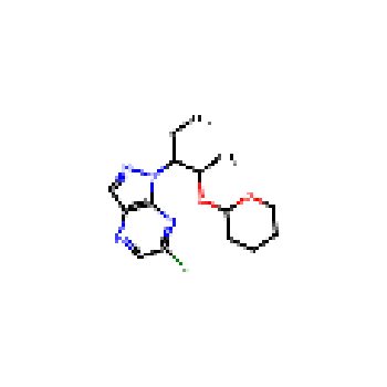 CCC([C@@H](C)OC1CCCCO1)n1ncc2ncc(Cl)nc21